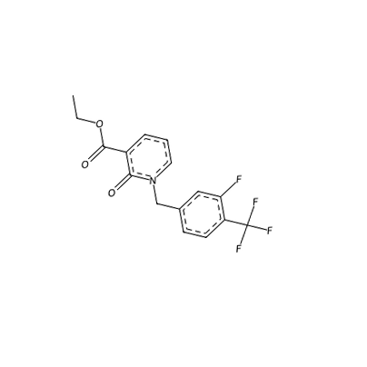 CCOC(=O)c1cccn(Cc2ccc(C(F)(F)F)c(F)c2)c1=O